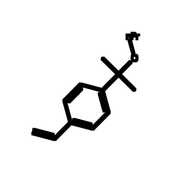 C=Cc1ccc(C(C)(C)OCCC)cc1